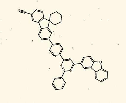 N#Cc1ccc2c(c1)-c1ccc(-c3ccc(-c4nc(-c5ccccc5)nc(-c5ccc6oc7ccccc7c6c5)n4)cc3)cc1C21CCCCC1